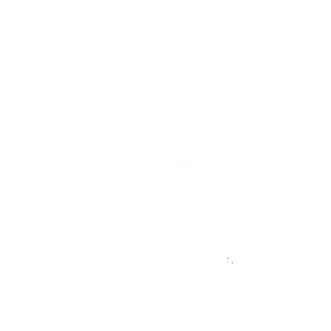 Cc1ccc(-c2ccccc2C(Cl)c2ccncc2)c(C)c1